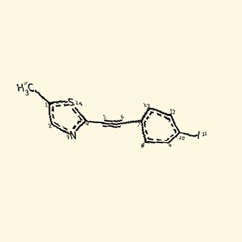 Cc1cnc(C#Cc2ccc(I)cc2)s1